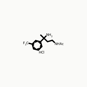 CC(=O)NCCC(C)(N)c1cccc(C(F)(F)F)c1.Cl